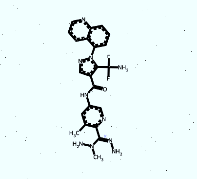 Cc1cc(NC(=O)c2cnn(-c3cccc4ncccc34)c2C(N)(F)F)cnc1/C(=N/N)N(C)N